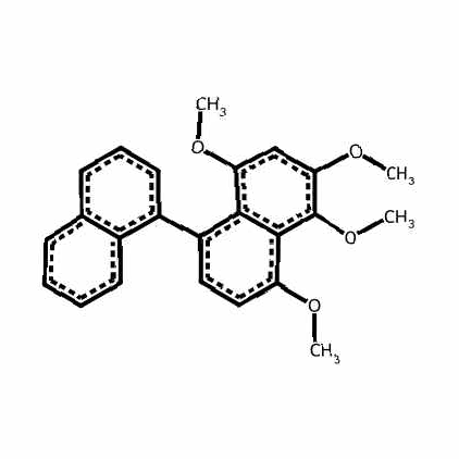 COc1cc(OC)c2c(-c3cccc4ccccc34)ccc(OC)c2c1OC